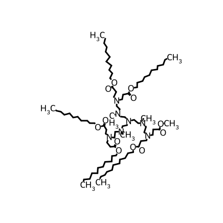 CCCCCCCCCCCOC(=O)CCN(CCC(=O)OC)CCN(C)CCN(CCN(C)CCN(CCC(=O)OCCCCCCCCCCC)CCC(=O)OCCCCCCCCCCC)CCN(C)CCN(CCC(=O)OCCCCCCCCCCC)CCC(=O)OCCCCCCCCCCC